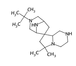 CC(C)(C)N1CC2CC3(CC(C)(C)N4CCNCC43)C(C1)N2